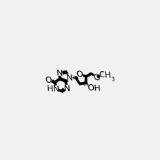 COCC1O[C@@H](n2cnc3c(=O)[nH]cnc32)C[C@H]1O